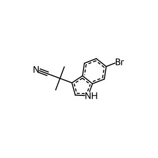 CC(C)(C#N)c1c[nH]c2cc(Br)ccc12